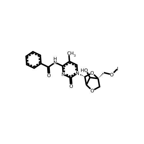 Cc1cn([C@@H]2O[C@@]3(COI)COC2C3O)c(=O)nc1NC(=O)c1ccccc1